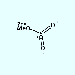 CO[SH](=O)=O.[Zr]